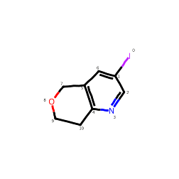 Ic1cnc2c(c1)COCC2